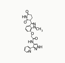 Cn1nc(C2CCC(=O)NC2=O)c2cccc(OCC(=O)Nc3c[nH]nc3-c3ccccn3)c21